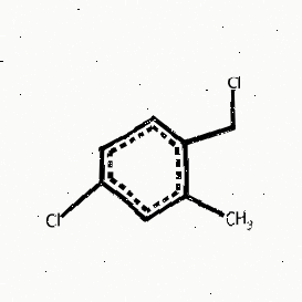 Cc1cc(Cl)ccc1CCl